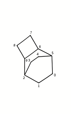 C1CC2CCC1C1CCC21